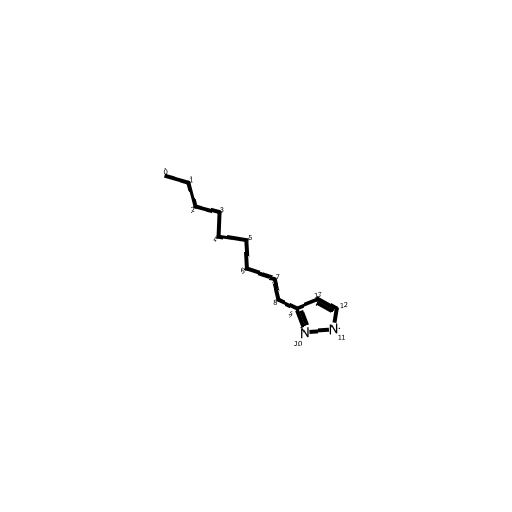 CCCCCCCCCC1=N[N]C=C1